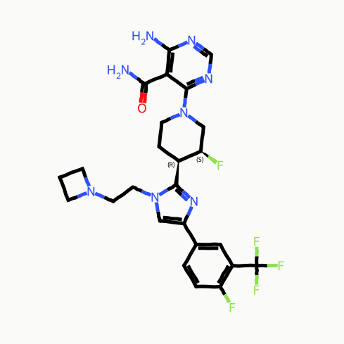 NC(=O)c1c(N)ncnc1N1CC[C@H](c2nc(-c3ccc(F)c(C(F)(F)F)c3)cn2CCN2CCC2)[C@H](F)C1